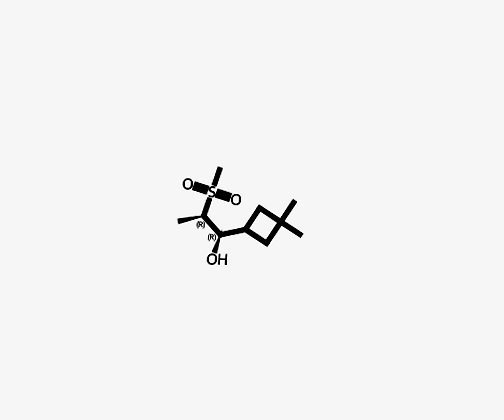 C[C@H]([C@H](O)C1CC(C)(C)C1)S(C)(=O)=O